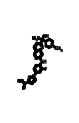 CN1CCC(C(C)(O)c2ccc3cnc(Nc4ccc(-n5ccc(C(=O)O)n5)cc4F)cc3n2)CC1